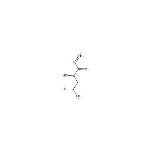 [CH2]C(S)CC(O)C(=O)C=C